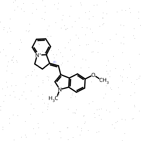 COc1ccc2c(c1)c(/C=C1\CC[n+]3ccccc31)cn2C